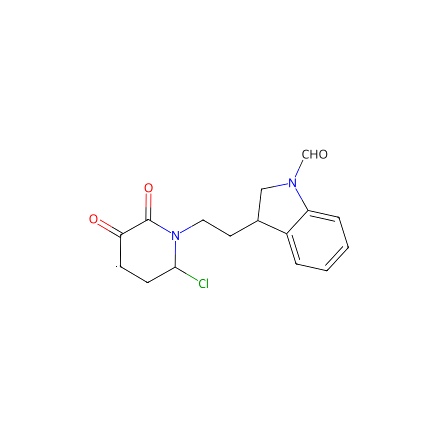 O=CN1CC(CCN2C(=O)C(=O)[CH]CC2Cl)c2ccccc21